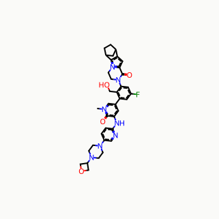 Cn1cc(-c2cc(F)cc(N3CCn4c(cc5c4C4CCC5C4)C3=O)c2CO)cc(Nc2ccc(N3CCN(C4COC4)CC3)cn2)c1=O